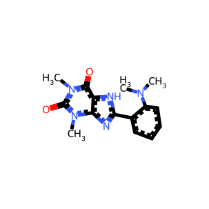 CN(C)c1ccccc1-c1nc2c([nH]1)c(=O)n(C)c(=O)n2C